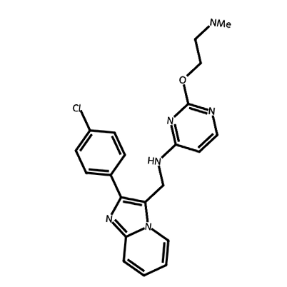 CNCCOc1nccc(NCc2c(-c3ccc(Cl)cc3)nc3ccccn23)n1